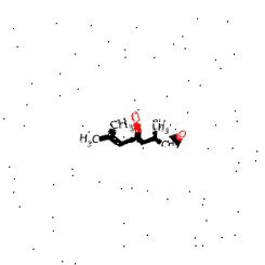 C1CO1.CC(C)CC(=O)CC(C)C